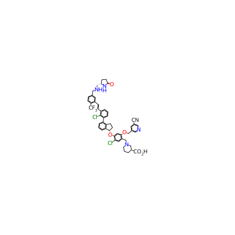 N#Cc1cncc(COc2cc(O[C@H]3CCc4c(-c5cccc(/C=C/c6cc(CNC[C@@H]7CCC(=O)N7)ccc6C(F)(F)F)c5Cl)cccc43)c(Cl)cc2CN2CCC[C@H](C(=O)O)C2)c1